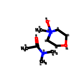 CC(=O)N(C)C.C[N+]1([O-])CCOCC1